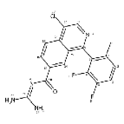 Cc1ccc(F)c(F)c1-c1ncc(Cl)c2ccc(C(=O)N=C(N)N)cc12